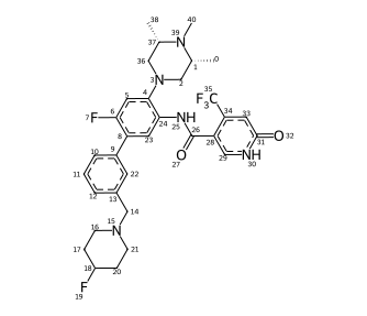 C[C@@H]1CN(c2cc(F)c(-c3cccc(CN4CCC(F)CC4)c3)cc2NC(=O)c2c[nH]c(=O)cc2C(F)(F)F)C[C@H](C)N1C